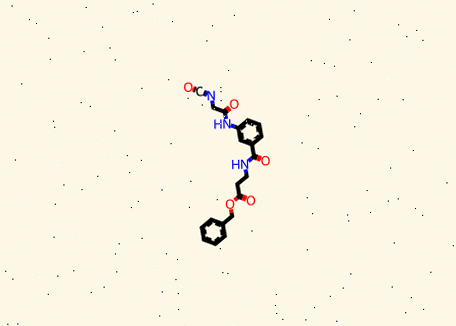 O=C=NCC(=O)Nc1cccc(C(=O)NCCC(=O)OCc2ccccc2)c1